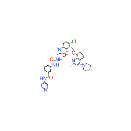 Cc1cc(N2CCCCC2)c2cccc(OCc3c(Cl)ccc(N(C)C(=O)CNC(=O)Nc4cccc(C(=O)Nc5ccncc5)c4)c3Cl)c2n1